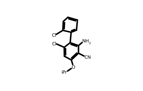 CC(C)Oc1cc(Cl)c(-c2ccccc2Cl)c(N)c1C#N